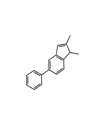 CC1=Cc2cc(-c3ccccc3)ccc2C1C